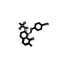 CCCC1CCC(OC[C@H]2[C@@H](NS(C)(=O)=O)CCc3ccc(C)c(=O)n32)CC1